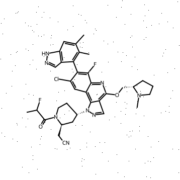 Cc1cc2[nH]ncc2c(-c2c(Cl)cc3c(nc(OC[C@@H]4CCCN4C)c4cnn([C@H]5CCN(C(=O)C(C)F)[C@H](CC#N)C5)c43)c2F)c1C